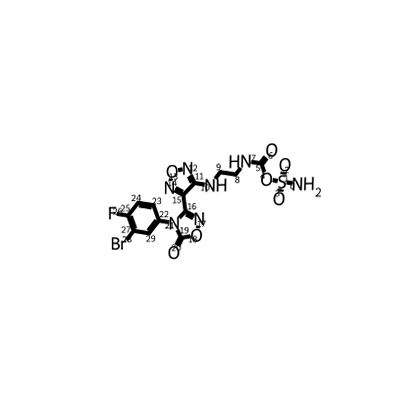 NS(=O)(=O)OC(=O)NCCNc1nonc1-c1noc(=O)n1-c1ccc(F)c(Br)c1